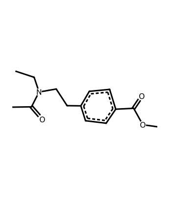 CCN(CCc1ccc(C(=O)OC)cc1)C(C)=O